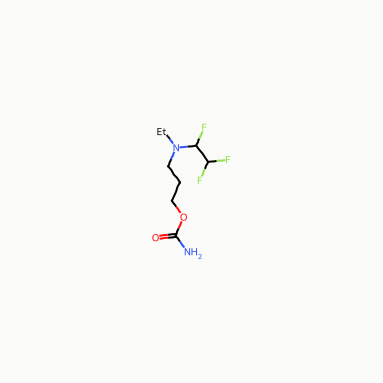 CCN(CCCOC(N)=O)C(F)C(F)F